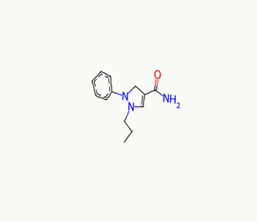 CCCN1C=C(C(N)=O)CN1c1ccccc1